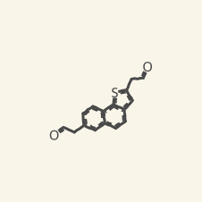 O=CCc1ccc2c(ccc3cc(CC=O)sc32)c1